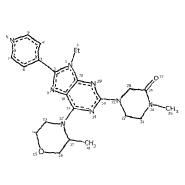 CCn1c(-c2ccncc2)nc2c(N3CCOCC3C)nc(N3CCN(C)C(=O)C3)nc21